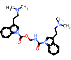 CN(C)CCc1cn(C(=O)NCOC(=O)n2cc(CCN(C)C)c3ccccc32)c2ccccc12